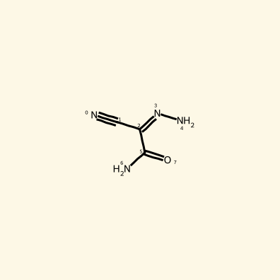 N#C/C(=N/N)C(N)=O